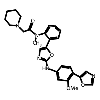 COc1cc(Nc2ncc(-c3ccccc3N(C)C(=O)CN3CCCCC3)o2)ccc1-c1cnco1